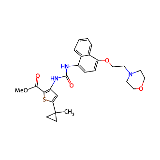 COC(=O)c1sc(C2(C)CC2)cc1NC(=O)Nc1ccc(OCCN2CCOCC2)c2ccccc12